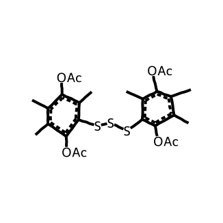 CC(=O)Oc1c(C)c(C)c(OC(C)=O)c(SSSc2c(C)c(OC(C)=O)c(C)c(C)c2OC(C)=O)c1C